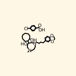 CN1CCCN(CCCCc2ccc3c(c2)OCCO3)CC(C2CCCCCCCC2O)C(O)C1.O=C(O)c1ccc(Cl)cc1